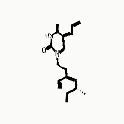 C=C/C=C1/CN(CC/C(C=C)=C/[C@H](C)CC)C(=O)NC1=C